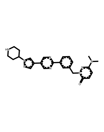 CN(C)c1ccc(=O)n(Cc2cccc(-c3ncc(-c4cnn(C5CCNCC5)c4)cn3)c2)n1